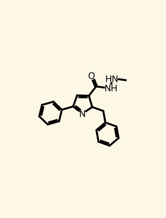 CNNC(=O)C1=CC(c2ccccc2)=NC1Cc1ccccc1